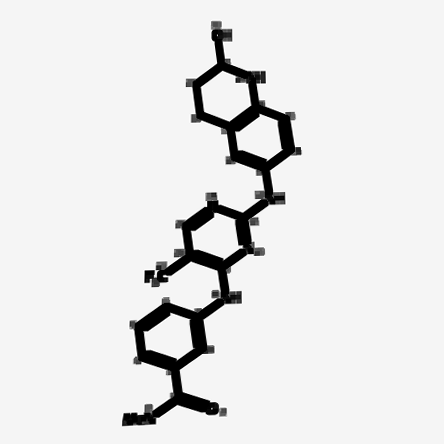 CNC(=O)c1cccc(Nc2nc(Nc3ccc4c(c3)CCC(O)N4)ncc2C(F)(F)F)c1